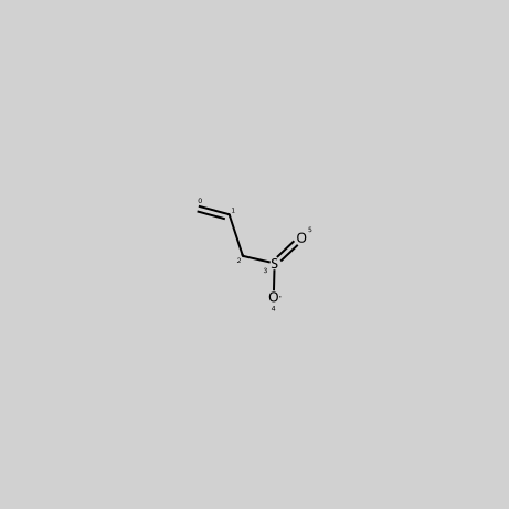 C=CCS([O])=O